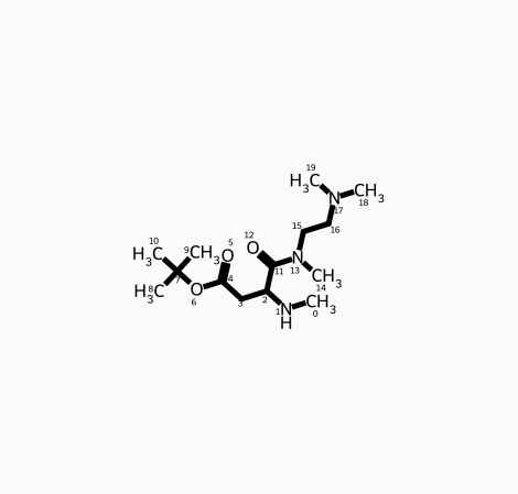 CNC(CC(=O)OC(C)(C)C)C(=O)N(C)CCN(C)C